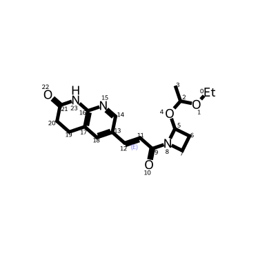 CCOC(C)OC1CCN1C(=O)/C=C/c1cnc2c(c1)CCC(=O)N2